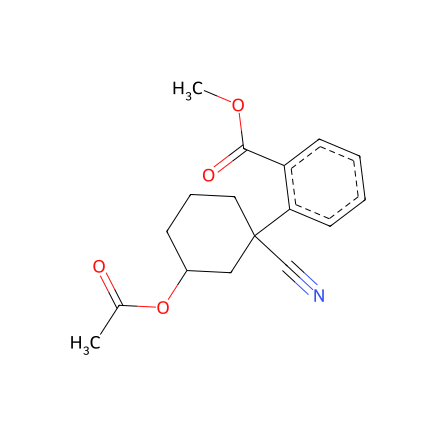 COC(=O)c1ccccc1C1(C#N)CCCC(OC(C)=O)C1